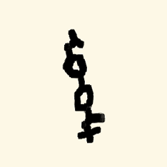 CC(C)Oc1ccc(C2CCN(C(=O)OC(C)(C)C)CC2)cc1